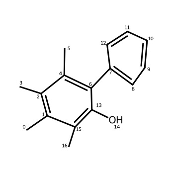 Cc1c(C)c(C)c(-c2ccccc2)c(O)c1C